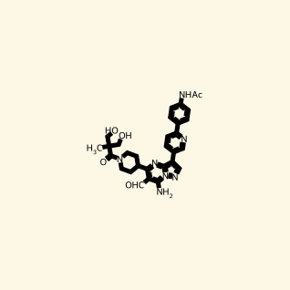 CC(=O)Nc1ccc(-c2ccc(-c3cnn4c(N)c(C=O)c(C5CCN(C(=O)C(C)(CO)CO)CC5)nc34)cn2)cc1